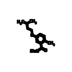 COC(=O)c1cc(OCCN(C)C)ccc1C